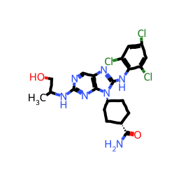 CC(CO)Nc1ncc2nc(Nc3c(Cl)cc(Cl)cc3Cl)n([C@H]3CC[C@@H](C(N)=O)CC3)c2n1